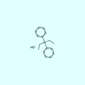 CC[N+](CC)(c1ccccc1)c1ccccc1.[OH-]